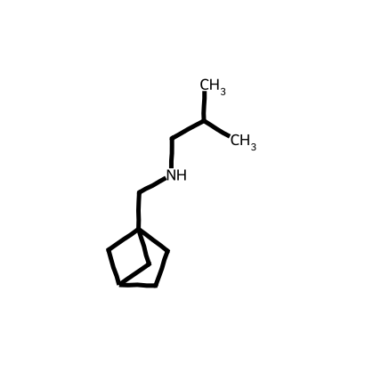 CC(C)CNCC12CCC(C1)C2